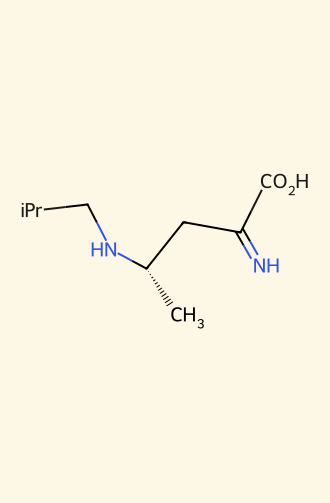 CC(C)CN[C@@H](C)CC(=N)C(=O)O